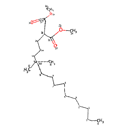 CCCCCCCCCC[Si](C)(C)CCCC(C(=O)OC)C(=O)OC